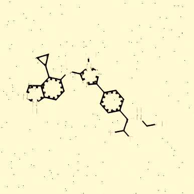 CCN[C@@H](c1ccc(-c2nc(Nc3ccc4[nH]ncc4c3C3CC3)n(C)n2)cc1)C(F)F